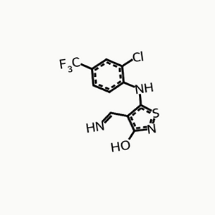 N=Cc1c(O)nsc1Nc1ccc(C(F)(F)F)cc1Cl